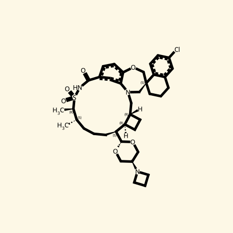 C[C@@H]1[C@@H](C)CCC[C@H]([C@H]2OC[C@H](N3CCC3)CO2)[C@@H]2CC[C@H]2CN2C[C@@]3(CCCc4cc(Cl)ccc43)COc3ccc(cc32)C(=O)NS1(=O)=O